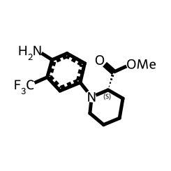 COC(=O)[C@@H]1CCCCN1c1ccc(N)c(C(F)(F)F)c1